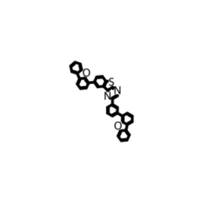 c1cc(-c2cnc3sc4ccc(-c5cccc6c5oc5ccccc56)cc4c3n2)cc(-c2cccc3c2oc2ccccc23)c1